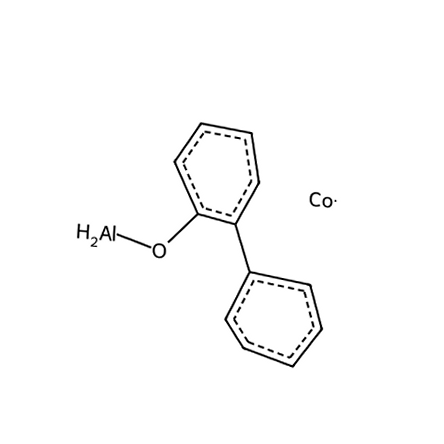 [AlH2][O]c1ccccc1-c1ccccc1.[Co]